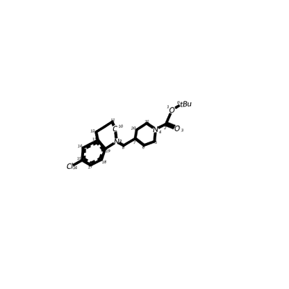 CC(C)(C)OC(=O)N1CCC(CN2CCCc3cc(Cl)ccc32)CC1